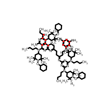 CCCCN(c1nc(N=C(CCNc2nc(N)nc(N)n2)CCC(CCNc2nc(N)nc(N)n2)=Nc2nc(N(CCCC)C3CC(C)(C)N(OC4CCCCC4)C(C)(C)C3)nc(N(CCCC)C3CC(C)(C)N(OC4CCCCC4)C(C)(C)C3)n2)nc(N(CCCC)C2CC(C)(C)N(OC3CCCCC3)C(C)(C)C2)n1)C1CC(C)(C)N(OC2CCCCC2)C(C)(C)C1